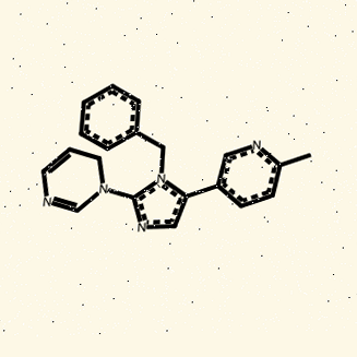 Cc1ccc(-c2cnc(N3C=NC=CC3)n2Cc2ccccc2)cn1